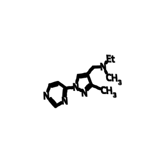 CCN(C)Cc1cn(-c2ccncn2)nc1C